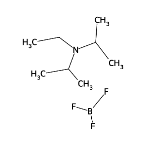 CCN(C(C)C)C(C)C.FB(F)F